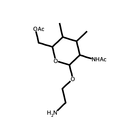 CC(=O)NC1C(OCCN)OC(COC(C)=O)C(C)C1C